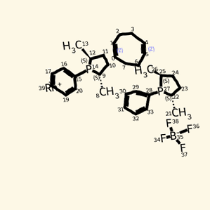 C1=C\CC/C=C\CC/1.C[C@H]1CC[C@H](C)P1c1ccccc1.C[C@H]1CC[C@H](C)P1c1ccccc1.F[B-](F)(F)F.[Rh+]